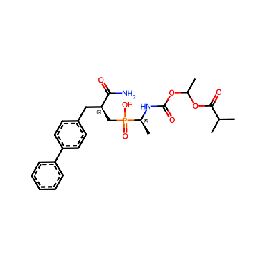 CC(OC(=O)N[C@@H](C)P(=O)(O)C[C@@H](Cc1ccc(-c2ccccc2)cc1)C(N)=O)OC(=O)C(C)C